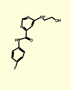 O=C(Nc1ccc(F)cc1)c1cc(NCCO)ncn1